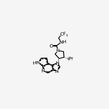 CC(C)[C@H]1CN(C(=O)NCC(F)(F)F)C[C@H]1n1cnc2cnc3[nH]ccc3c21